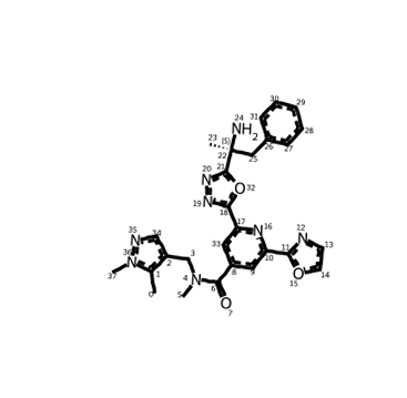 Cc1c(CN(C)C(=O)c2cc(-c3ncco3)nc(-c3nnc([C@@](C)(N)Cc4ccccc4)o3)c2)cnn1C